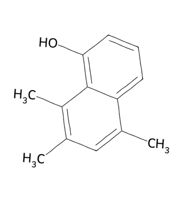 Cc1cc(C)c2cccc(O)c2c1C